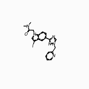 CN(C)C(=O)Cn1cc(I)c2cc(-c3ncn(Cc4ccccn4)n3)ccc21